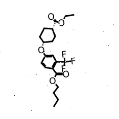 CCCCOC(=O)c1ccc(O[C@H]2CC[C@@H](C(=O)OCC)CC2)cc1C(F)(F)F